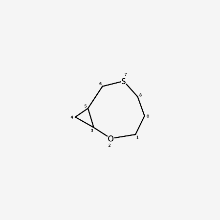 C1COC2CC2CSC1